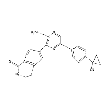 N#CC1(c2ccc(-c3cnc(N)c(-c4ccc5c(c4)CCNC5=O)n3)cc2)CC1